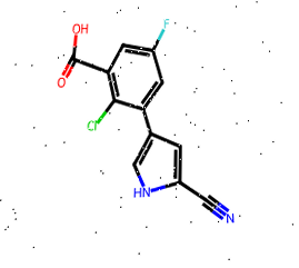 N#Cc1cc(-c2cc(F)cc(C(=O)O)c2Cl)c[nH]1